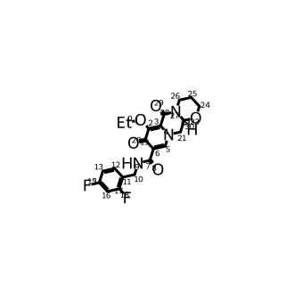 CCOc1c2n(cc(C(=O)NCc3ccc(F)cc3F)c1=O)C[C@@H]1OCCCN1C2=O